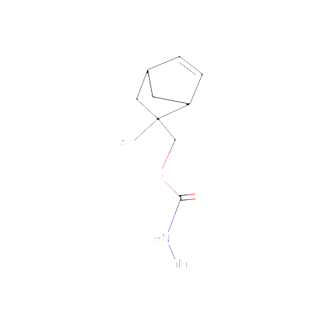 CC(=O)C1(COC(=O)NC(C)C)CC2C=CC1C2